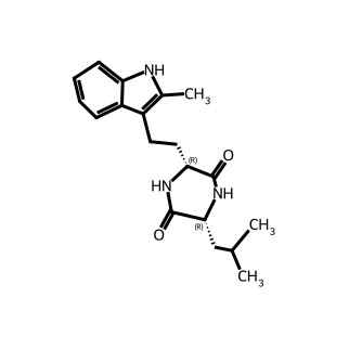 Cc1[nH]c2ccccc2c1CC[C@H]1NC(=O)[C@@H](CC(C)C)NC1=O